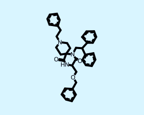 O=C1C(COCc2ccccc2)NC(=O)C2(CCN(CCc3ccccc3)CC2)N1CC(c1ccccc1)c1ccccc1